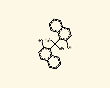 CCCC(C)(c1c(O)ccc2ccccc12)c1c(O)ccc2ccccc12